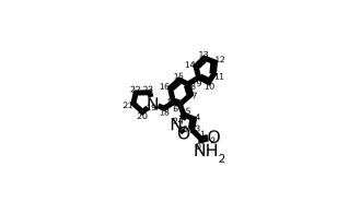 NC(=O)c1cc(-c2cc(-c3ccccc3)ccc2CN2CCCC2)no1